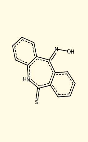 ON=c1c2ccccc2[nH]c(=S)c2ccccc12